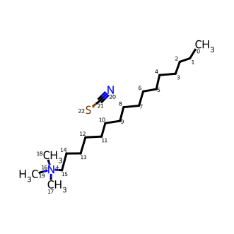 CCCCCCCCCCCCCCCC[N+](C)(C)C.N#C[S-]